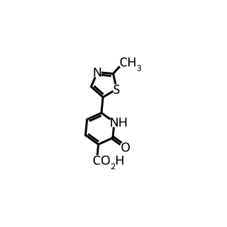 Cc1ncc(-c2ccc(C(=O)O)c(=O)[nH]2)s1